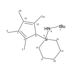 CC1=C(C)C([Si]2(NC(C)(C)C)CCCCC2)C(C)=C1C